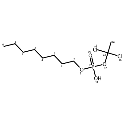 CCCCCCCCOP(=O)(O)OC(C)(Cl)Cl